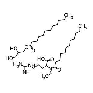 CCCCCCCCCCCC(=O)N(CC)[C@@H](CCCNC(=N)N)C(=O)O.CCCCCCCCCCCC(=O)OCC(O)CO